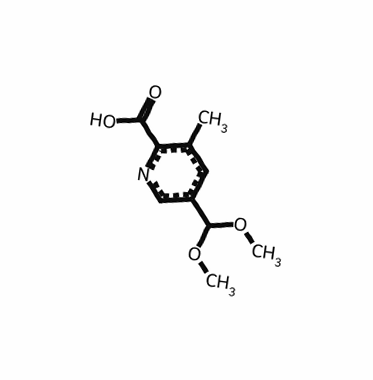 COC(OC)c1cnc(C(=O)O)c(C)c1